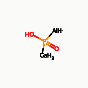 O=[P](O)([AlH])[GaH2]